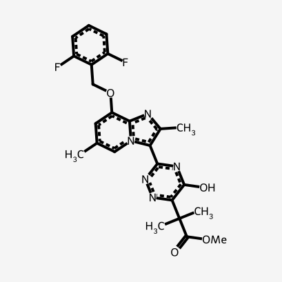 COC(=O)C(C)(C)c1nnc(-c2c(C)nc3c(OCc4c(F)cccc4F)cc(C)cn23)nc1O